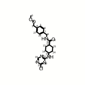 COOCc1ccc(CNC(=O)C2CCC(Nc3ncnc(Cl)n3)CC2)cc1